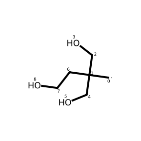 [CH2]C(CO)(CO)CCO